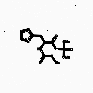 COP(=O)(CC(=O)C(Cc1cscn1)NC(=O)OC(C)(C)C)OC